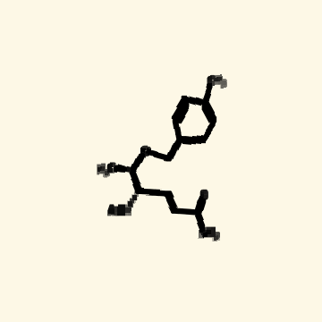 CC(=O)N[C@@H](CCC(N)=O)[C@@H](C)OCc1ccc(C)cc1